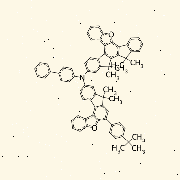 CC(C)(C)c1ccc(-c2cc3c(c4c2oc2ccccc24)-c2ccc(N(c4ccc(-c5ccccc5)cc4)c4ccc5c(c4)C(C)(C)c4c6c(c7oc8ccccc8c7c4-5)-c4ccccc4C6(C)C)cc2C3(C)C)cc1